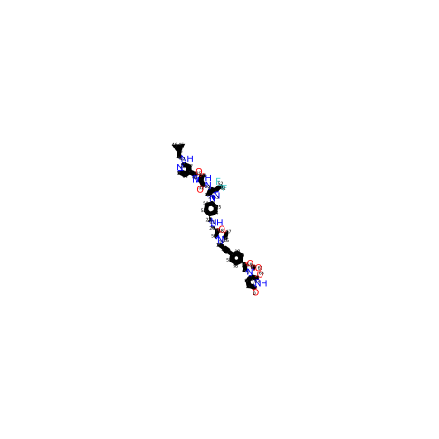 O=C1CCC(N2C[C@H](c3ccc(C#CCN4CCO[C@@H](CNC[C@H]5CC[C@H](n6cc(NC(=O)c7coc(-c8ccnc(NCC9CC9)c8)n7)c(C(F)F)n6)CC5)C4)cc3)OC2=O)C(=O)N1